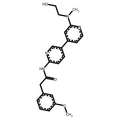 COc1cccc(CC(=O)Nc2ccc(-c3ccnc(N(C)CCO)c3)cn2)c1